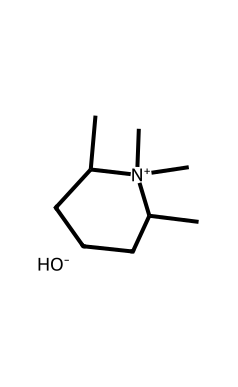 CC1CCCC(C)[N+]1(C)C.[OH-]